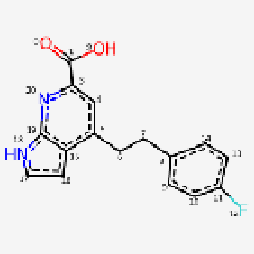 O=C(O)c1cc(CCc2ccc(F)cc2)c2cc[nH]c2n1